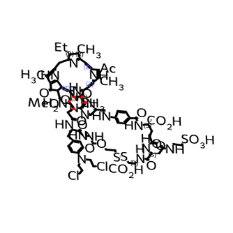 CC[C@H]1C2Cc3[nH]c4c(c3C)C(=O)C(C(=O)OC)/C4=C3N=C(/C=c4\[nH]/c(c(C(C)=O)c4C)=C\C(=N2)[C@@H]1C)[C@@H](C)[C@@H]/3CCCC(=O)NC(Cc1ccc(N(CCCl)CCCl)cc1)C(=O)NNC(=O)OCCSSC[C@H](NC(=O)[C@H](CC(=O)NCCS(=O)(=O)O)NC(=O)CC[C@H](NC(=O)c1ccc(NCc2cnc3nc(N)[nH]c(=O)c3n2)cc1)C(=O)O)C(=O)O